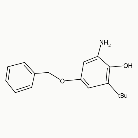 CC(C)(C)c1cc(OCc2ccccc2)cc(N)c1O